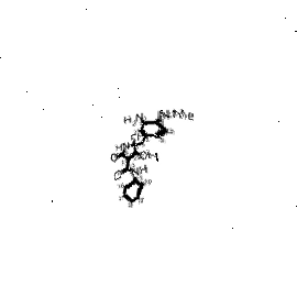 CNc1ccc(CC2(C)NC(=O)C(C(=O)Nc3ccccc3)=C2O)cc1N